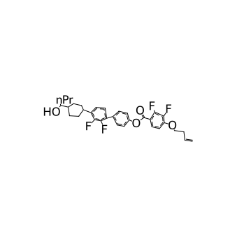 C=CCCOc1ccc(C(=O)Oc2ccc(-c3ccc(C4CCC(C(O)CCC)CC4)c(F)c3F)cc2)c(F)c1F